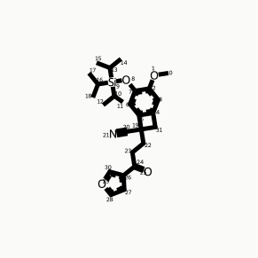 COc1cc2c(cc1O[Si](C(C)C)(C(C)C)C(C)C)C(C#N)(CCC(=O)c1ccoc1)C2